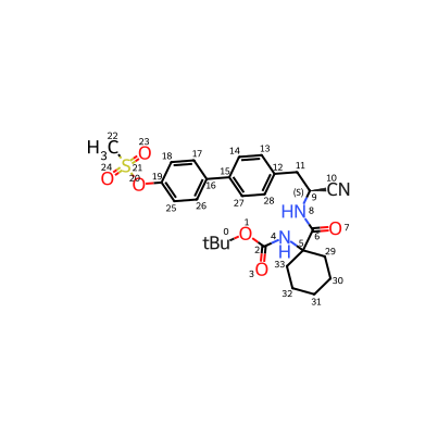 CC(C)(C)OC(=O)NC1(C(=O)N[C@H](C#N)Cc2ccc(-c3ccc(OS(C)(=O)=O)cc3)cc2)CCCCC1